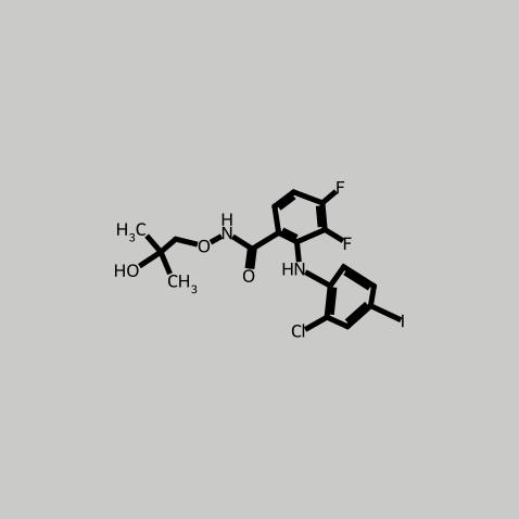 CC(C)(O)CONC(=O)c1ccc(F)c(F)c1Nc1ccc(I)cc1Cl